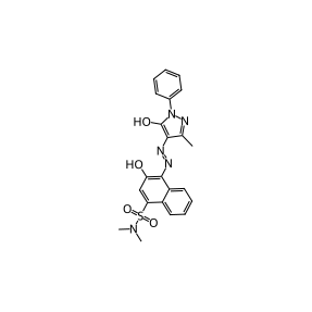 Cc1nn(-c2ccccc2)c(O)c1N=Nc1c(O)cc(S(=O)(=O)N(C)C)c2ccccc12